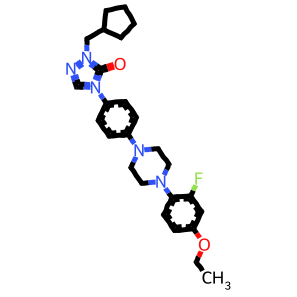 CCOc1ccc(N2CCN(c3ccc(-n4cnn(CC5CCCC5)c4=O)cc3)CC2)c(F)c1